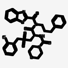 O=C(N[C@@H](CS(=O)(=O)Cc1ccccc1Cl)C(=O)N(CCCc1ccccc1)C(=O)c1nc2ccccc2o1)N1CCOCC1